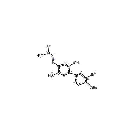 CCN(C)/C=N/c1cc(C)c(-c2ccc(C(C)(C)C)c(Br)c2)cc1C